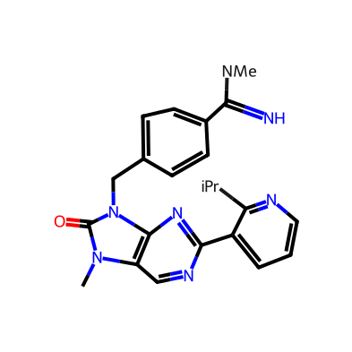 CNC(=N)c1ccc(Cn2c(=O)n(C)c3cnc(-c4cccnc4C(C)C)nc32)cc1